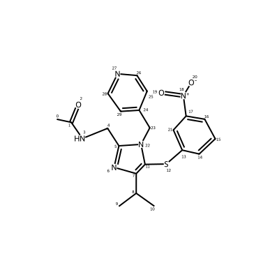 CC(=O)NCc1nc(C(C)C)c(Sc2cccc([N+](=O)[O-])c2)n1Cc1ccncc1